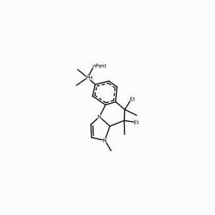 CCCCC[PH](C)(C)c1ccc2c(c1)N1C=CN(C)C1C(C)(CC)C2(C)CC